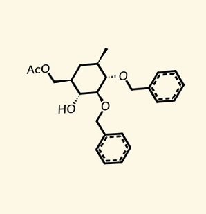 CC(=O)OC[C@H]1C[C@@H](C)[C@H](OCc2ccccc2)[C@@H](OCc2ccccc2)[C@@H]1O